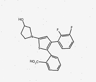 O=C(O)c1ccccc1-c1sc(N2CCC(O)C2)cc1-c1cccc(F)c1F